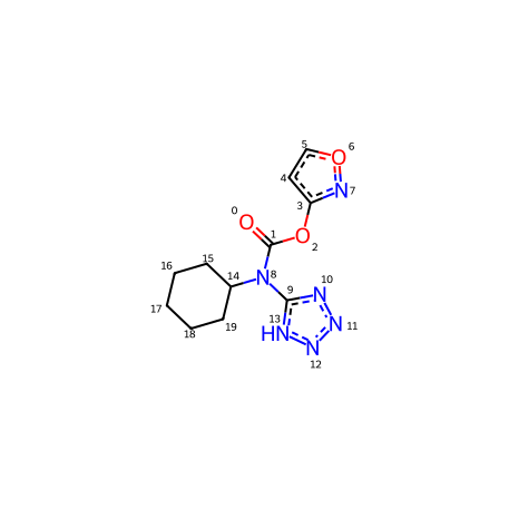 O=C(Oc1ccon1)N(c1nnn[nH]1)C1CCCCC1